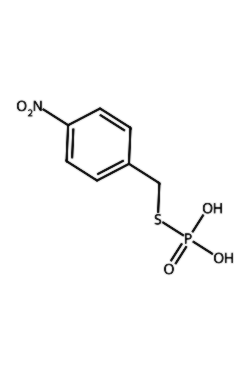 O=[N+]([O-])c1ccc(CSP(=O)(O)O)cc1